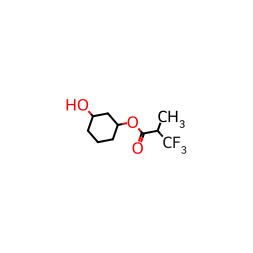 CC(C(=O)OC1CCCC(O)C1)C(F)(F)F